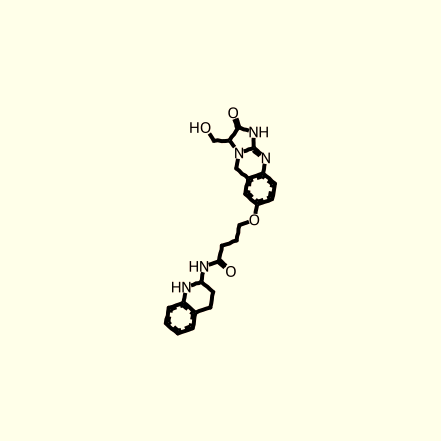 O=C(CCCOc1ccc2c(c1)CN1C(=N2)NC(=O)C1CO)NC1CCc2ccccc2N1